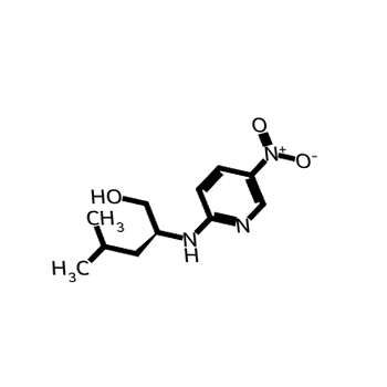 CC(C)C[C@@H](CO)Nc1ccc([N+](=O)[O-])cn1